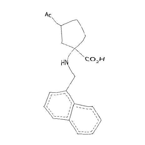 CC(=O)C1CCC(NCc2cccc3ccccc23)(C(=O)O)C1